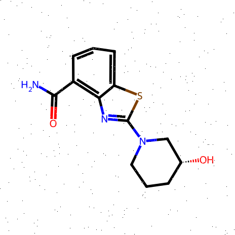 NC(=O)c1[c]ccc2sc(N3CCC[C@@H](O)C3)nc12